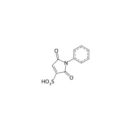 O=C1C=C(S(=O)(=O)O)C(=O)N1c1ccccc1